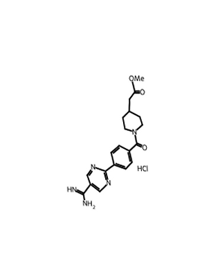 COC(=O)CC1CCN(C(=O)c2ccc(-c3ncc(C(=N)N)cn3)cc2)CC1.Cl